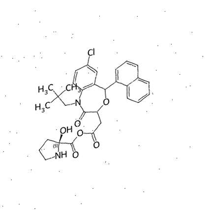 CC(C)(C)CN1C(=O)C(CC(=O)OC(=O)[C@@]2(O)CCCN2)OC(c2cccc3ccccc23)c2cc(Cl)ccc21